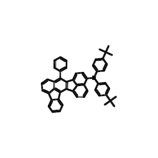 CC(C)(C)c1ccc(N(c2ccc(C(C)(C)C)cc2)c2ccc3c4c(-c5ccccc5)c5cccc6c7ccccc7c(c56)c4c4cccc2c34)cc1